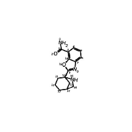 NC(=O)c1cccc2nc(C34CCCC(CN3)C4)oc12